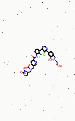 COc1cc(-c2nccc(-c3cccc(NC(=O)c4ccc(CN(CC5CCC(=O)N5)C(=O)O)cn4)c3C)c2Cl)ccc1CNCCO